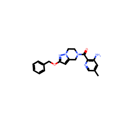 Cc1cnc(C(=O)N2CCn3nc(OCc4ccccc4)cc3C2)c(N)c1